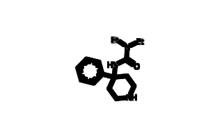 CCN(CC)C(=O)NC1(c2ccccc2)CCNCC1